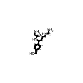 NCC(=O)NC(CCCNC(N)=O)c1ccc(CO)cc1